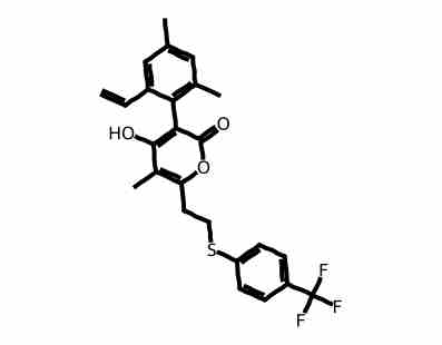 C=Cc1cc(C)cc(C)c1-c1c(O)c(C)c(CCSc2ccc(C(F)(F)F)cc2)oc1=O